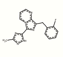 Cc1n[nH]c(-c2nc(Cc3ccccc3F)c3ncccn23)n1